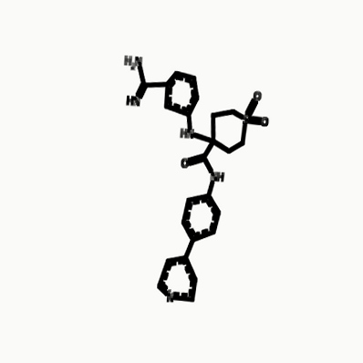 N=C(N)c1cccc(NC2(C(=O)Nc3ccc(-c4ccncc4)cc3)CCS(=O)(=O)CC2)c1